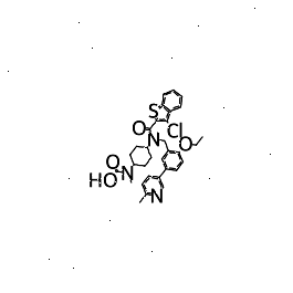 CCOc1ccc(-c2ccc(C)nc2)cc1CN(C(=O)c1sc2ccccc2c1Cl)C1CCC(N(C)C(=O)O)CC1